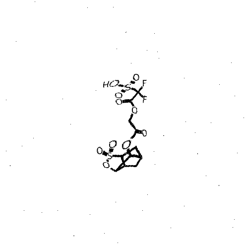 O=C(COC(=O)C(F)(F)S(=O)(=O)O)OC1C2CC3C1OS(=O)(=O)C3C2